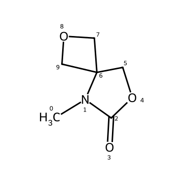 CN1C(=O)OCC12COC2